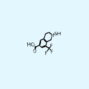 O=C(O)c1cc2c(c(C(F)(F)F)c1)CN(S)CC2